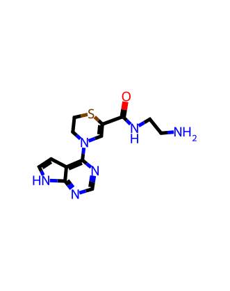 NCCNC(=O)C1=CN(c2ncnc3[nH]ccc23)CCS1